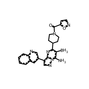 Bc1c(C2CCN(C(=O)c3ccno3)CC2)nc2c(-c3cnc4ccccc4c3)cnn2c1N